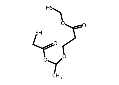 CC(OCCC(=O)OCS)OC(=O)CS